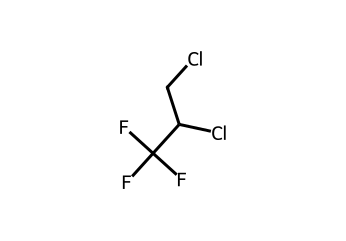 FC(F)(F)C(Cl)CCl